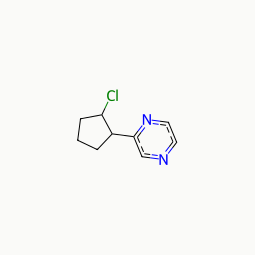 ClC1CCCC1c1cnccn1